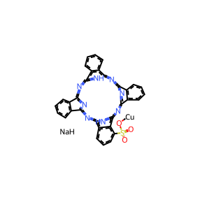 O=S(=O)([O][Cu])c1cccc2c3nc4nc(nc5[nH]c(nc6nc(nc([nH]3)c12)-c1ccccc1-6)c1ccccc51)-c1ccccc1-4.[NaH]